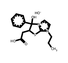 CCCn1cc[n+]2c1SC(CC(=O)O)C2(O)c1ccccc1.[OH-]